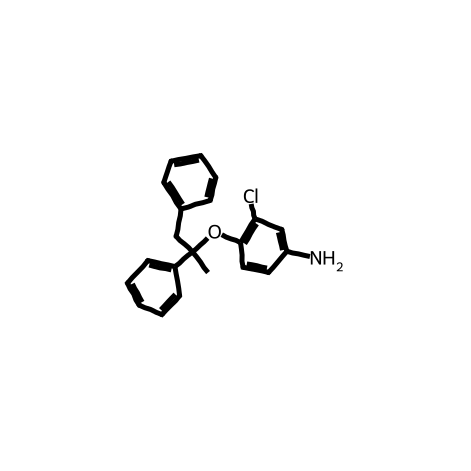 CC(Cc1ccccc1)(Oc1ccc(N)cc1Cl)c1ccccc1